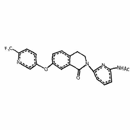 CC(=O)Nc1cccc(N2CCc3ccc(Oc4ccc(C(F)(F)F)nc4)cc3C2=O)n1